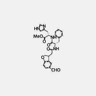 COC(=O)[C@H](Cc1c[nH]cn1)NC(=O)[C@H](Cc1ccccc1)NC(=O)CC1COc2ccc(C=O)cc21